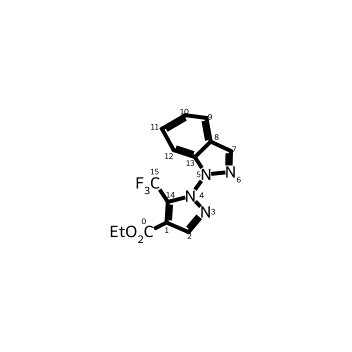 CCOC(=O)c1cnn(-n2ncc3ccccc32)c1C(F)(F)F